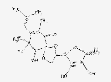 C=C1O[C@H](C2COC3(O2)C(=O)C(C)=C(C=C(C)C)C(C)(C)C3O)C(O)=C1O